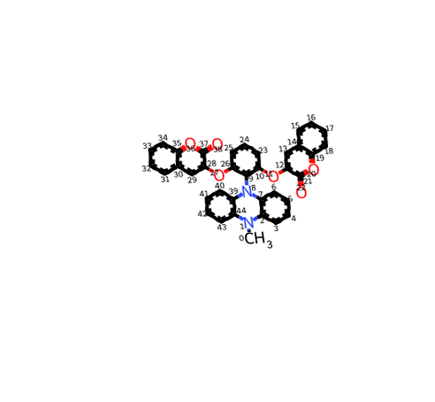 CN1c2ccccc2N(c2c(Oc3cc4ccccc4oc3=O)cccc2Oc2cc3ccccc3oc2=O)c2ccccc21